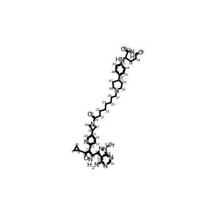 CC(C)n1nc(-c2noc(C3CC3)c2-c2ccc(C3CN(C(=O)CCCCCCCN4CCC(c5ccc(NC6CCC(=O)NC6=O)cc5)CC4)C3)cn2)c2c(N)ncnc21